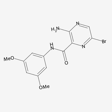 COc1cc(NC(=O)c2nc(Br)cnc2N)cc(OC)c1